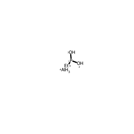 CCP(O)O.[AlH3]